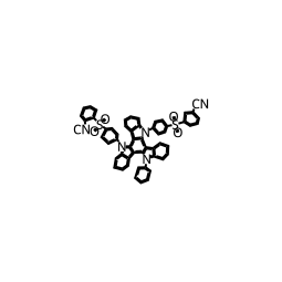 N#Cc1cccc(S(=O)(=O)c2ccc(-n3c4ccccc4c4c3c3c5ccccc5n(-c5ccccc5)c3c3c5ccccc5n(-c5ccc(S(=O)(=O)c6ccccc6C#N)cc5)c34)cc2)c1